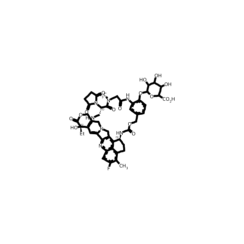 CC[C@@]1(O)C(=O)OCC2=C1C=C1c3nc4cc(F)c(C)c5c4c(c3CN1C2)[C@@H](NC(=O)OCc1ccc(OC2OC(C(=O)O)C(O)C(O)C2O)c(NC(=O)CN(C)C(=O)[C@H](CN)N2C(=O)CCC2=O)c1)CC5